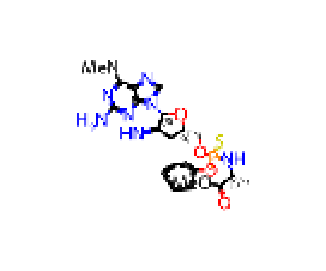 CNc1nc(N)nc2c1ncn2[C@@H]1O[C@H](COP(=S)(N[C@H](C)C(=O)OC)Oc2ccccc2)CC1=N